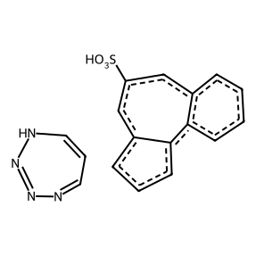 C1=CNN=NN=C1.O=S(=O)(O)c1cc2cccc-2c2ccccc2c1